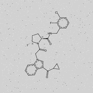 O=C(c1cn(CC(=O)N2[C@H](I)CC[C@H]2C(=O)NCc2cccc(Cl)c2F)c2ccccc12)C1CC1